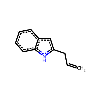 C=CCc1cc2c[c]ccc2[nH]1